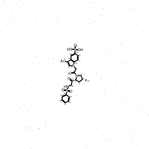 CC(=O)c1cn(CC(=O)N2C[C@H](F)C[C@H]2C(=O)CNS(=O)(=O)c2ccccc2)c2ccc(P(=O)(O)O)cc12